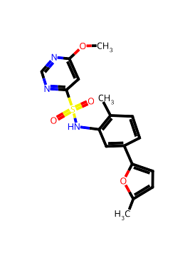 COc1cc(S(=O)(=O)Nc2cc(-c3ccc(C)o3)ccc2C)ncn1